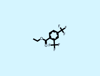 CCOC(=O)c1ccc(C(F)(F)F)cc1C(F)(F)F